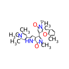 CC1=CC(c2cc3c(-c4cc(=O)n(C5CC5)cc4Oc4c(C)cccc4C)cn(C)c(=O)c3[nH]2)=CC(C)N1C